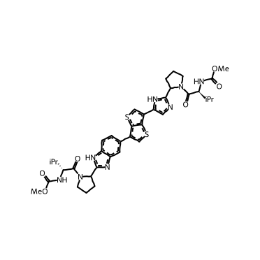 COC(=O)N[C@H](C(=O)N1CCCC1c1ncc(-c2csc3c(-c4ccc5[nH]c(C6CCCN6C(=O)[C@H](NC(=O)OC)C(C)C)nc5c4)csc23)[nH]1)C(C)C